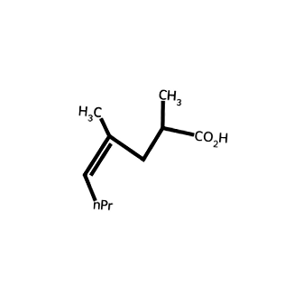 CCCC=C(C)CC(C)C(=O)O